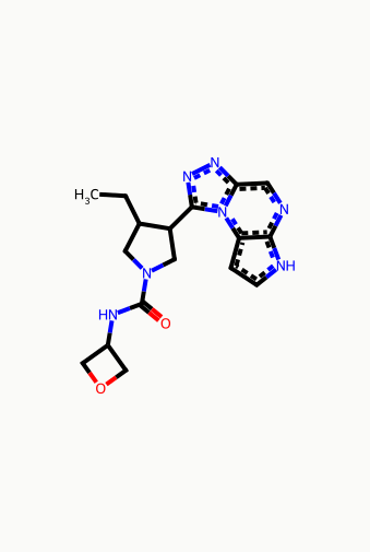 CCC1CN(C(=O)NC2COC2)CC1c1nnc2cnc3[nH]ccc3n12